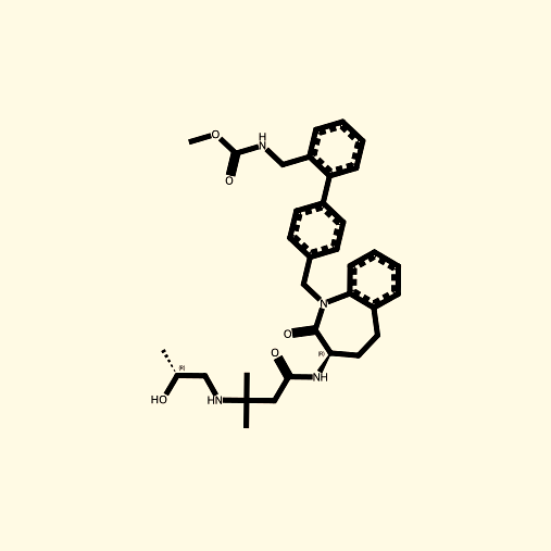 COC(=O)NCc1ccccc1-c1ccc(CN2C(=O)[C@H](NC(=O)CC(C)(C)NC[C@@H](C)O)CCc3ccccc32)cc1